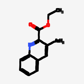 CCOC(=O)c1nc2ccccc2cc1[AsH2]